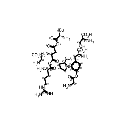 CC[C@H](C)[C@H](N)C(=O)OC(=O)C[C@H](N)C(=O)OC(=O)[C@@H](N)CCCNC(=N)N.NCC(=O)O.NCC(=O)Oc1ccc(C[C@H](N)C(=O)O)cc1.N[C@@H](CO)C(=O)O.O=C(O)[C@@H]1CCCN1